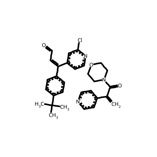 C=C(C(=O)N1CCOCC1)c1ccncc1.CC(C)(C)c1ccc(/C(=C/C=O)c2ccnc(Cl)c2)cc1